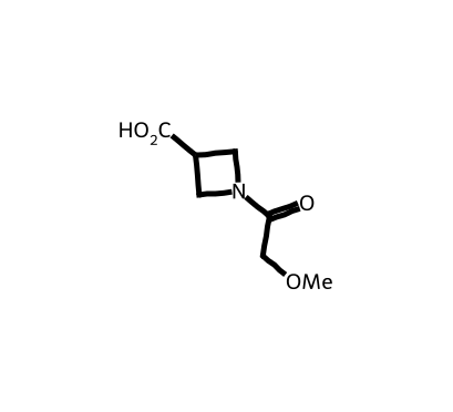 COCC(=O)N1CC(C(=O)O)C1